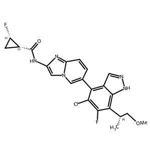 COC[C@H](C)c1c(F)c(Cl)c(-c2ccc3nc(NC(=O)[C@@H]4C[C@@H]4F)cn3c2)c2cn[nH]c12